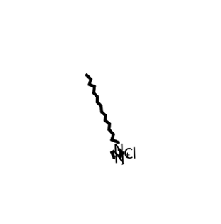 CCCCCCCCCCCCCCCCN1CC[N+](C)=C1Cl